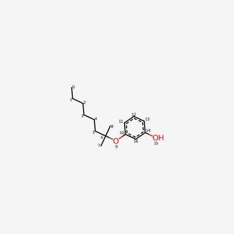 CCCCCCC(C)(C)Oc1cccc(O)c1